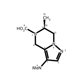 CNc1cnn2c1CN(C(=O)O)[C@@H](C)C2